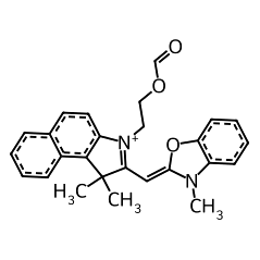 CN1/C(=C/C2=[N+](CCOC=O)c3ccc4ccccc4c3C2(C)C)Oc2ccccc21